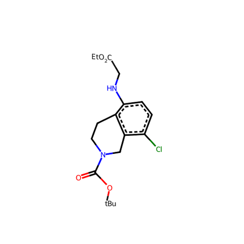 CCOC(=O)CNc1ccc(Cl)c2c1CCN(C(=O)OC(C)(C)C)C2